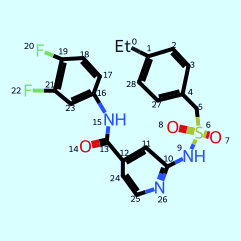 CCc1ccc(CS(=O)(=O)Nc2cc(C(=O)Nc3ccc(F)c(F)c3)ccn2)cc1